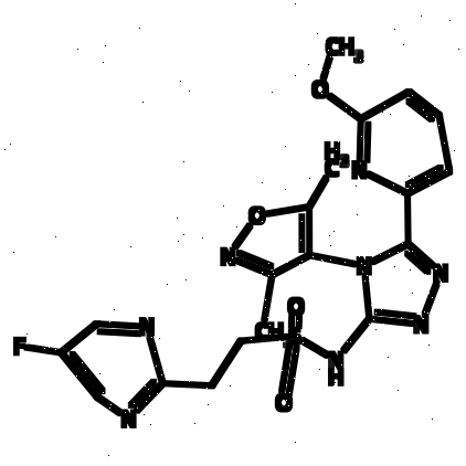 COc1cccc(-c2nnc(NS(=O)(=O)CCc3ncc(F)cn3)n2-c2c(C)noc2C)n1